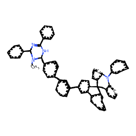 CN1C(c2ccccc2)N=C(c2ccccc2)NC1c1ccc(-c2cccc(-c3ccc4c(c3)-c3ccccc3C43c4ccccc4N(c4ccccc4)c4ccccc43)c2)cc1